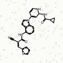 N#C/C(=C/c1cccs1)C(=O)Nc1cccc2c1ccn2C1=CC(NC(=O)C2CC2)NC=C1